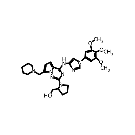 COc1cc(-n2cnc(Nc3nc(N4CCCC4CO)nn4c(CN5CCCCC5)ccc34)c2)cc(OC)c1OC